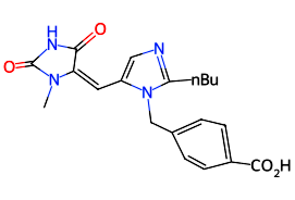 CCCCc1ncc(/C=C2\C(=O)NC(=O)N2C)n1Cc1ccc(C(=O)O)cc1